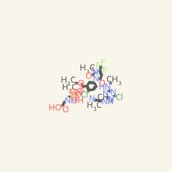 CC(C)OC(=O)c1cc(-n2c(=O)cc(C(F)(F)F)n(C)c2=O)ccc1Cl.CCNc1nc(Cl)nc(NC(C)(C)C#N)n1.O=C(O)CNCP(=O)(O)O